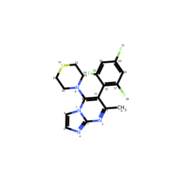 Cc1nc2nccn2c(N2CCSCC2)c1-c1c(F)cc(F)cc1F